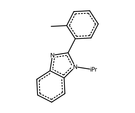 Cc1ccccc1-c1nc2ccccc2n1C(C)C